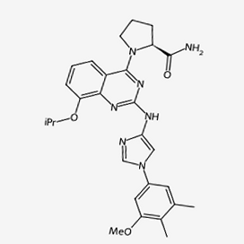 COc1cc(-n2cnc(Nc3nc(N4CCC[C@H]4C(N)=O)c4cccc(OC(C)C)c4n3)c2)cc(C)c1C